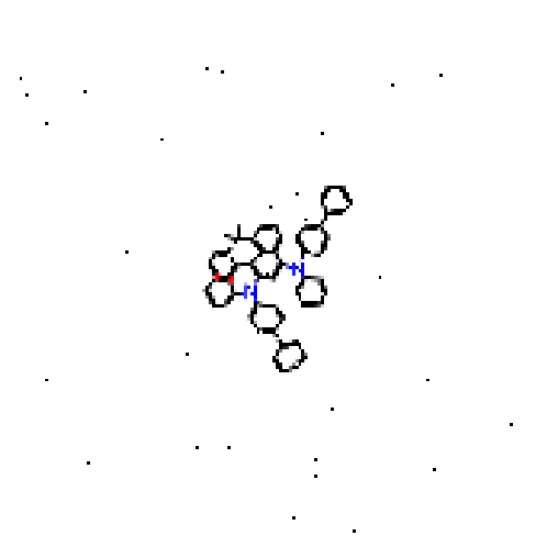 CC1(C)c2ccccc2-c2c(N(c3ccccc3)c3ccc(-c4ccccc4)cc3)cc(N(c3ccccc3)c3ccc(-c4ccccc4)cc3)c3cccc1c23